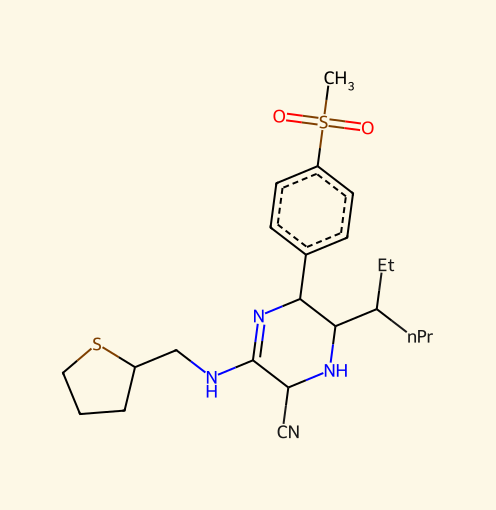 CCCC(CC)C1NC(C#N)C(NCC2CCCS2)=NC1c1ccc(S(C)(=O)=O)cc1